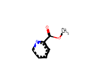 COC(=O)c1c[c]ccn1